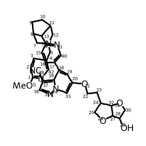 COc1ccc(CN2CC3CCC(C2)C3c2ccc(-c3cc(OCCC4COC5C(O)COC45)cn4ncc(C#N)c34)cn2)cn1